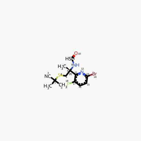 CC(C)(C#N)SC[C@](C)(N[SiH]=O)c1nc(Br)ccc1F